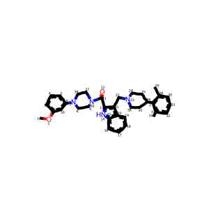 COc1cccc(N2CCN(C(=O)c3[nH]c4ccccc4c3CN3CCC(c4c(C)cccc4C)CC3)CC2)c1